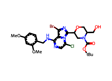 COc1ccc(CNc2ncc(Cl)n3c(C4CN(C(=O)OC(C)(C)C)C(CO)CO4)nc(Br)c23)c(OC)c1